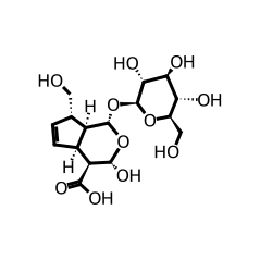 O=C(O)[C@H]1[C@H]2C=C[C@H](CO)[C@H]2[C@H](O[C@@H]2O[C@H](CO)[C@@H](O)[C@H](O)[C@H]2O)O[C@@H]1O